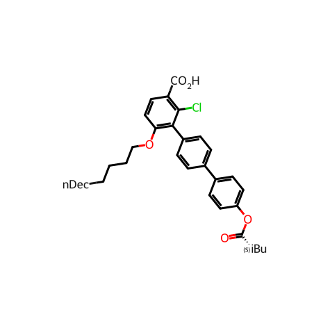 CCCCCCCCCCCCCCOc1ccc(C(=O)O)c(Cl)c1-c1ccc(-c2ccc(OC(=O)[C@@H](C)CC)cc2)cc1